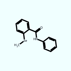 C[Se]c1ccccc1C(=O)Nc1ccccc1